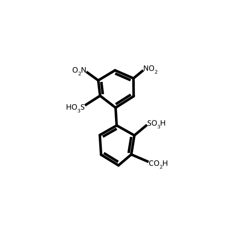 O=C(O)c1cccc(-c2cc([N+](=O)[O-])cc([N+](=O)[O-])c2S(=O)(=O)O)c1S(=O)(=O)O